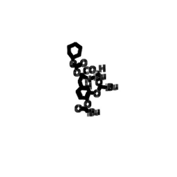 CCC(C)N[C@@](Cc1ccc(OC(=O)C(C)CC)c(OC(=O)C(C)CC)c1)(OC(=O)OC1CCCCC1)C(=O)O